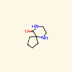 O=C1NCCNC12CCCC2